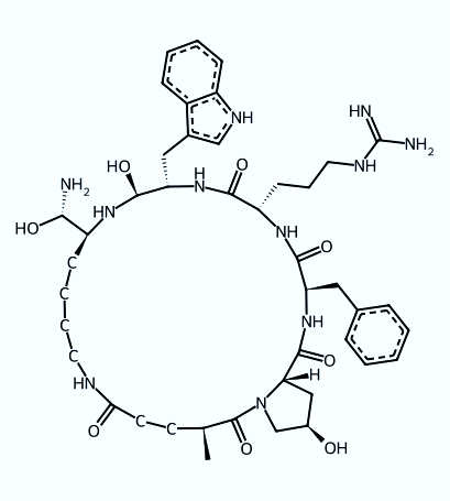 C[C@H]1CCC(=O)NCCCC[C@@H]([C@@H](N)O)N[C@@H](O)[C@H](Cc2c[nH]c3ccccc23)NC(=O)[C@H](CCCNC(=N)N)NC(=O)[C@@H](Cc2ccccc2)NC(=O)[C@@H]2C[C@@H](O)CN2C1=O